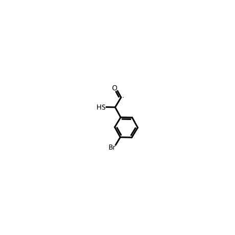 O=[C]C(S)c1cccc(Br)c1